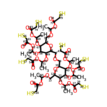 CC(OCC1OC(COCC2OC(COC(C)OC(=O)CS)C(OC(C)OC(=O)CS)C(OC(C)OC(=O)CS)C2OC(C)OC(=O)CS)C(OC(C)OC(=O)CS)C(OC(C)OC(=O)CS)C1OC(C)OC(=O)CS)OC(=O)CS